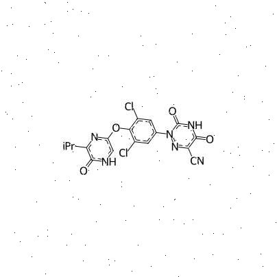 CC(C)c1nc(Oc2c(Cl)cc(-n3nc(C#N)c(=O)[nH]c3=O)cc2Cl)c[nH]c1=O